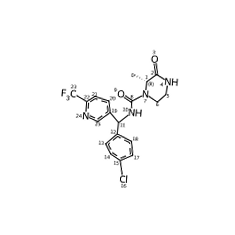 C[C@@H]1C(=O)NCCN1C(=O)NC(c1ccc(Cl)cc1)c1ccc(C(F)(F)F)nc1